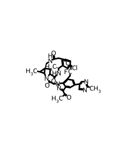 CC(=O)c1nn2c3c(cc(-c4cnc(C)nc4)cc13)CCCCCCC(=O)NC[C@@]13CC(C(=O)N[C@H](C)c4cccc(Cl)c4F)N(C(=O)C2)C1C3C